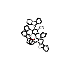 N#Cc1c(-c2ccccc2)c(-n2c3ccccc3c3c4oc5ccccc5c4ccc32)c(-n2c3ccccc3c3ccccc32)c(-c2ccccc2)c1N1c2ccccc2C2C=CC=CC21